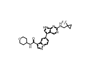 O=C(NC1CCOCC1)c1cnn2ccc(-c3c[nH]c4nc(NCC5(C(F)(F)F)CC5)ncc34)cc12